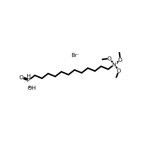 CO[N+](CCCCCCCCCCCC[PH](=O)O)(OC)OC.[Br-]